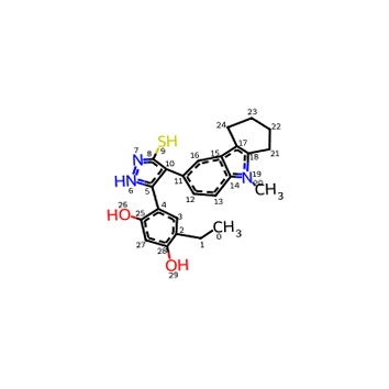 CCc1cc(-c2[nH]nc(S)c2-c2ccc3c(c2)c2c(n3C)CCCC2)c(O)cc1O